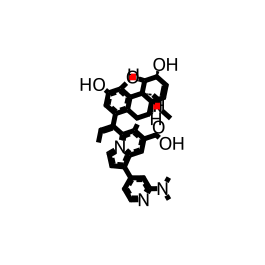 CC=C(c1cc(O)c2c3c1C[C@@H]1[C@@H]4C=C[C@H](O)[C@H](O2)[C@]34CCN1C)c1c(C)c(C(=O)O)cc2c(-c3ccnc(N(C)C)c3)ccn12